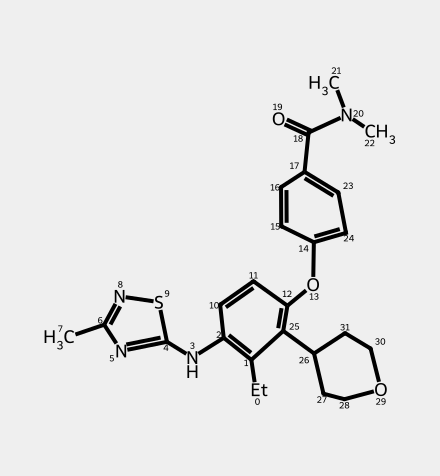 CCc1c(Nc2nc(C)ns2)ccc(Oc2ccc(C(=O)N(C)C)cc2)c1C1CCOCC1